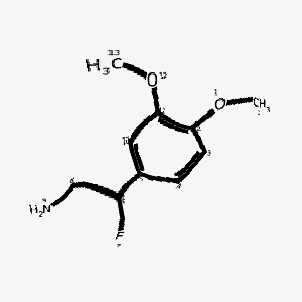 COc1ccc(C(F)CN)cc1OC